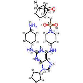 CC1(C)[C@@H]2CC[C@]1(CS(=O)(=O)N1CCC(Nc3nc(NC4CCC(N)CC4)nc4c3ncn4C3CCCC3)CC1)C(=O)C2